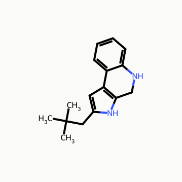 CC(C)(C)Cc1cc2c([nH]1)CNc1ccccc1-2